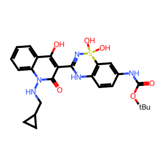 CC(C)(C)OC(=O)Nc1ccc2c(c1)S(O)(O)N=C(c1c(O)c3ccccc3n(NCC3CC3)c1=O)N2